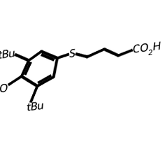 CC(C)(C)c1cc(SCCCC(=O)O)cc(C(C)(C)C)c1O